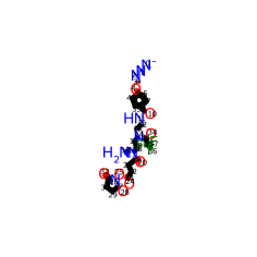 [N-]=[N+]=NCOc1ccc(C(=O)NCCN(CCN(N)C(=O)CCC(=O)ON2C(=O)CCC2=O)C(=O)C(F)(F)F)cc1